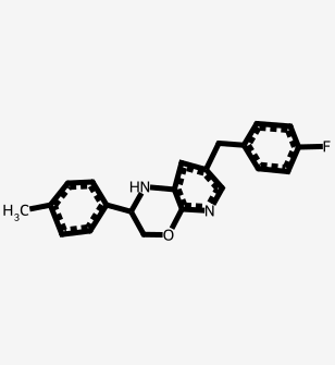 Cc1ccc(C2COc3ncc(Cc4ccc(F)cc4)cc3N2)cc1